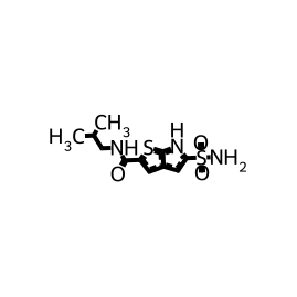 CC(C)CNC(=O)c1cc2cc(S(N)(=O)=O)[nH]c2s1